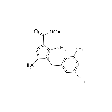 COC(=O)c1cc(C)n(Cc2cc(C(F)(F)F)cc(C(F)(F)F)c2)c1C